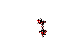 CC(C)(C)c1cc2c3c(c1)C1(C)CCCCC1(C)N3c1cc3cc(-c4ccc(-c5ccc(N6B7c8cccc9c8N(c8ccccc8O9)c8c7c(cc7ccccc87)-c7cc8ccccc8cc76)cc5)cc4)ccc3c3c1B2N(c1ccc(-c2ccccc2)cc1)c1cc2ccccc2cc1-3